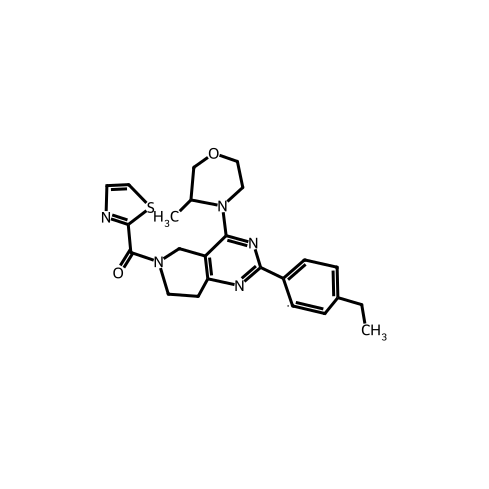 CCc1c[c]c(-c2nc3c(c(N4CCOCC4C)n2)CN(C(=O)c2nccs2)CC3)cc1